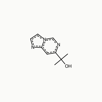 CC(C)(O)c1cc2nccn2cn1